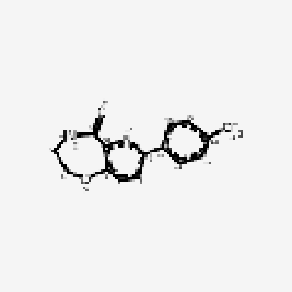 O=C1NCCOc2ccc(-c3ccc(C(F)(F)F)cc3)nc21